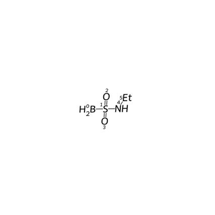 BS(=O)(=O)NCC